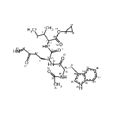 CCC(C)[C@H](NC(=O)[C@H](CCC(=O)C=N)NC(=O)[C@H](Cc1c[nH]c2ccccc12)NC(C)=O)C(=O)OC1CC1